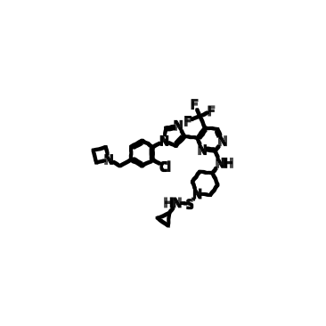 FC(F)(F)c1cnc(NC2CCN(SNC3CC3)CC2)nc1-c1cn(-c2ccc(CN3CCC3)cc2Cl)cn1